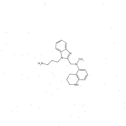 CN(Cc1nc2ccccc2n1CCCN)c1cccc2c1CCCN2